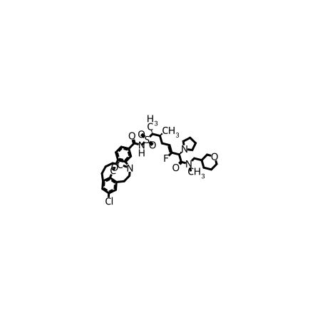 C[C@H]([C@@H](C)C/C=C(\F)[C@H](C(=O)N(C)CC1CCCOC1)N1CCCC1)S(=O)(=O)NC(=O)c1ccc2c(c1)N1CCCCc3cc(Cl)cc(c3CO2)CC1